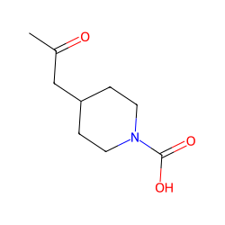 CC(=O)CC1CCN(C(=O)O)CC1